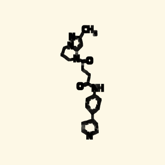 Cc1cc2n(n1)CCCN2C(=O)CCC(=O)Nc1ccc(-c2ccncc2)cc1